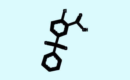 O=C(O)c1cc(S(=O)(=O)c2ccccc2)ccc1Cl